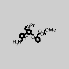 COCC(C)OC(=O)Cc1ccccc1OCc1cc(-c2cccc(CN)c2F)c2ccn(C(C)C)c2c1